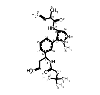 C=CCC(NC(=O)OC(C)(C)C)c1cccc(-c2c(NC(=O)C(C)C=C)cnn2C)c1